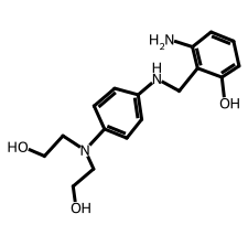 Nc1cccc(O)c1CNc1ccc(N(CCO)CCO)cc1